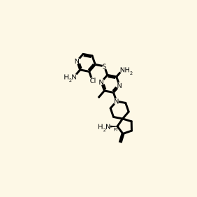 C=C1CCC2(CCN(c3nc(N)c(Sc4ccnc(N)c4Cl)nc3C)CC2)[C@@H]1N